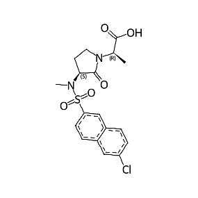 C[C@H](C(=O)O)N1CC[C@H](N(C)S(=O)(=O)c2ccc3cc(Cl)ccc3c2)C1=O